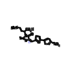 CSCCC(C(=O)O)N1C(=O)/C(=C\c2ccc(-c3ccc([N+](=O)[O-])cc3)o2)SC1=S